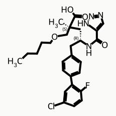 CCCCCOC[C@](C)(C[C@@H](Cc1ccc(-c2cc(Cl)ccc2F)cc1)NC(=O)c1cnn[nH]1)C(=O)O